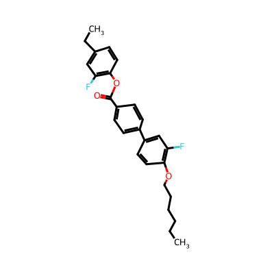 CCCCCCOc1ccc(-c2ccc(C(=O)Oc3ccc(CC)cc3F)cc2)cc1F